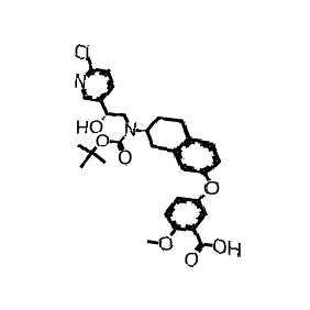 COc1ccc(Oc2ccc3c(c2)C[C@@H](N(C[C@H](O)c2ccc(Cl)nc2)C(=O)OC(C)(C)C)CC3)cc1C(=O)O